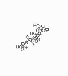 CCOc1cc(/N=N/c2c(S(=O)(=O)O)cc3ccc(NC(=O)C([C@H](C)C(=O)O)[C@H](C)c4ccccc4)cc3c2O)c(OCC)cc1/N=N/c1cccc(P(=O)(O)O)c1